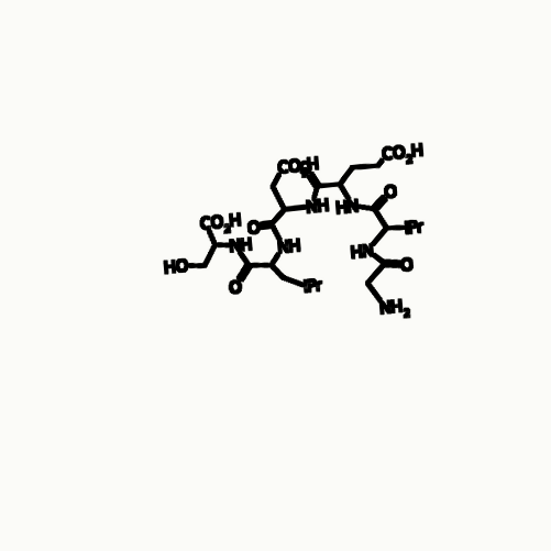 CC(C)CC(NC(=O)C(CC(=O)O)NC(=O)C(CCC(=O)O)NC(=O)C(NC(=O)CN)C(C)C)C(=O)NC(CO)C(=O)O